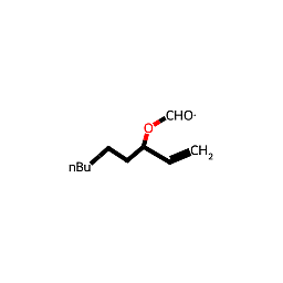 C=CC(CCCCCC)O[C]=O